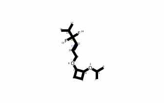 CC(C)OC1CCC1OC/C=C/C(F)(F)C(C)C